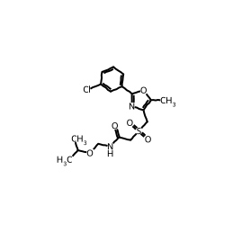 Cc1oc(-c2cccc(Cl)c2)nc1CS(=O)(=O)CC(=O)NCOC(C)C